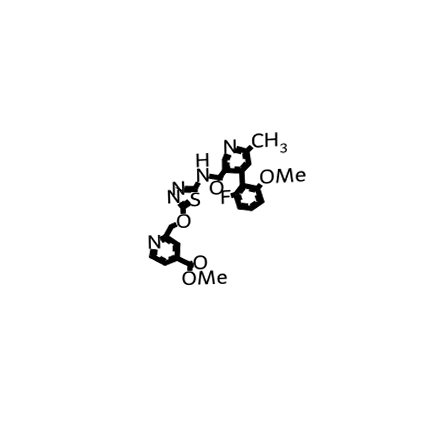 COC(=O)c1ccnc(COc2nnc(NC(=O)c3cnc(C)cc3-c3c(F)cccc3OC)s2)c1